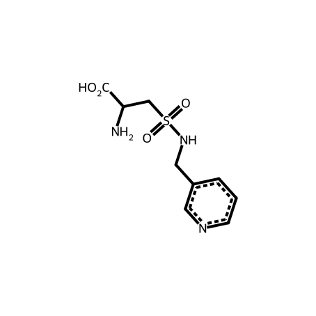 NC(CS(=O)(=O)NCc1cccnc1)C(=O)O